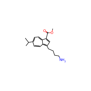 COC(=O)c1cc(CCCCN)c2ccc(C(C)C)ccc1-2